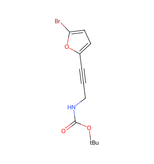 CC(C)(C)OC(=O)NCC#Cc1ccc(Br)o1